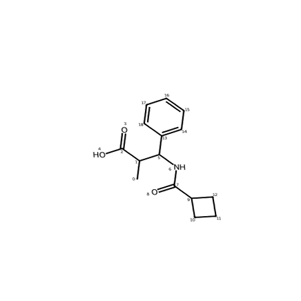 CC(C(=O)O)C(NC(=O)C1CCC1)c1ccccc1